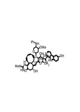 CNC(=N)NC1=C2C#C/C=C\C#C[C@H](OC3OC(C)C(SC)(C(=O)c4nccc5c4[nH]c4ccc(O)cc45)C(O)C3OC3CC(OC)C(NC(C)C)CO3)C2/C(=C\CSC(C)=O)[C@@H](O)CC1=O